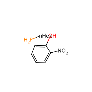 CCCCCCP.O=[N+]([O-])c1ccccc1O